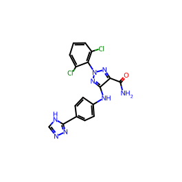 NC(=O)c1nn(-c2c(Cl)cccc2Cl)nc1Nc1ccc(-c2nnc[nH]2)cc1